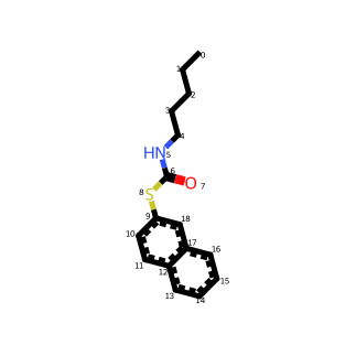 CCCCCNC(=O)Sc1ccc2ccccc2c1